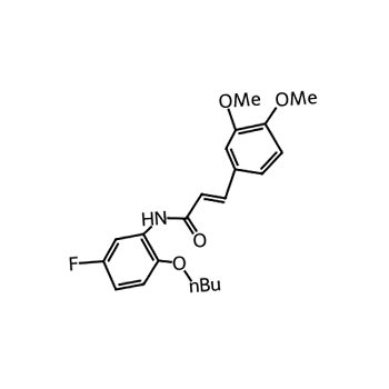 CCCCOc1ccc(F)cc1NC(=O)/C=C/c1ccc(OC)c(OC)c1